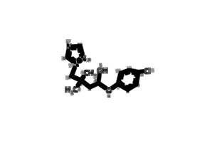 CC(C)(CC(O)Oc1ccc(Cl)cc1)Cn1cncn1